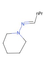 CCCC=NN1CCCCC1